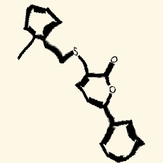 Cc1ccccc1CSc1ccc(-c2ccccc2)oc1=O